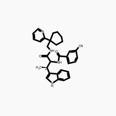 C[C@H](c1c[nH]c2ccccc12)C(NC(=O)c1cccc(C#N)c1)C(=O)NCC1(c2ccccn2)CCCCC1